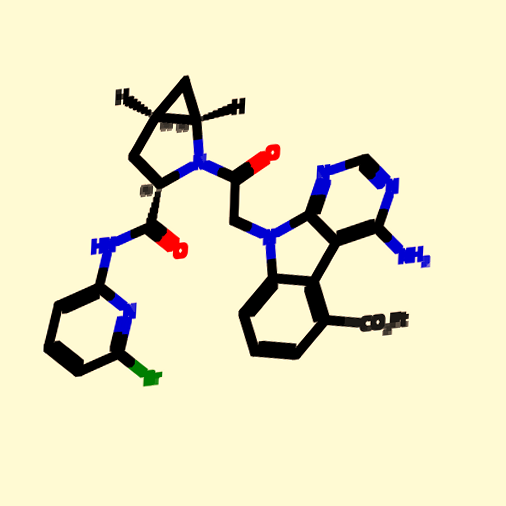 CCOC(=O)c1cccc2c1c1c(N)ncnc1n2CC(=O)N1[C@@H]2C[C@@H]2C[C@H]1C(=O)Nc1cccc(Br)n1